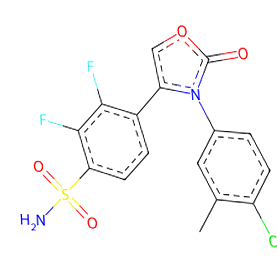 Cc1cc(-n2c(-c3ccc(S(N)(=O)=O)c(F)c3F)coc2=O)ccc1Cl